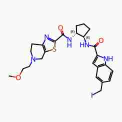 COCCN1CCc2nc(C(=O)N[C@@H]3CCC[C@H]3NC(=O)c3cc4cc(CI)ccc4[nH]3)sc2C1